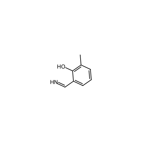 Cc1cccc(C=N)c1O